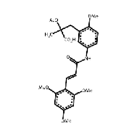 COc1cc(OC)c(C=CC(=O)Nc2ccc(OC)c(CC(C)(OC(C)=O)C(=O)O)c2)c(OC)c1